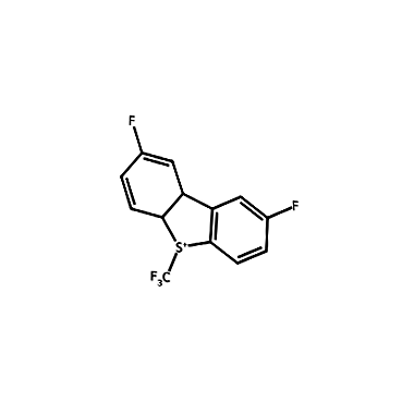 FC1=CC2c3cc(F)ccc3[S+](C(F)(F)F)C2C=C1